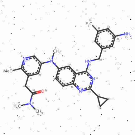 COc1ncc(N(C)c2ccc3nc(C4CC4)nc(NCc4cc(N)cc(C(F)(F)F)c4)c3c2)cc1CC(=O)N(C)C